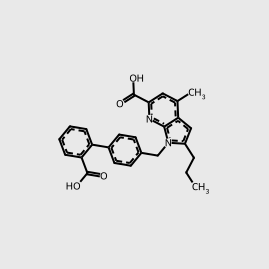 CCCc1cc2c(C)cc(C(=O)O)nc2n1Cc1ccc(-c2ccccc2C(=O)O)cc1